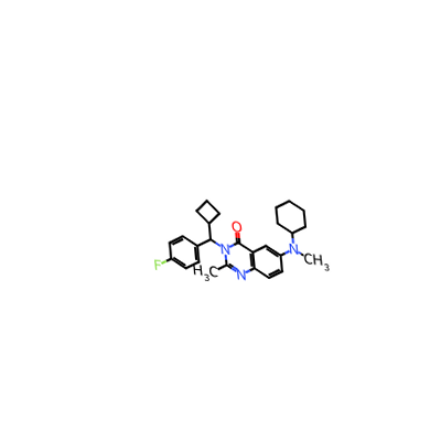 Cc1nc2ccc(N(C)C3CCCCC3)cc2c(=O)n1C(c1ccc(F)cc1)C1CCC1